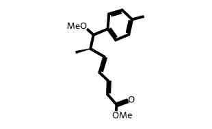 COC(=O)/C=C/C=C/[C@@H](C)C(OC)c1ccc(C)cc1